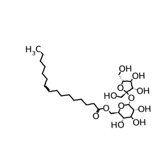 CCCCCC/C=C\CCCCCCCC(=O)OC[C@H]1O[C@H](O[C@]2(CO)O[C@H](CO)[C@@H](O)[C@@H]2O)[C@H](O)[C@@H](O)[C@@H]1O